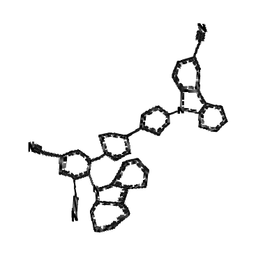 N#Cc1cc(C#N)c(-n2c3ccccc3c3ccccc32)c(-c2ccc(-c3ccc(-n4c5ccccc5c5cc(C#N)ccc54)cc3)cc2)c1